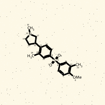 COc1ccc(S(=O)(=O)c2ccc(C3CCN(C)C3)c(C)c2)cc1C